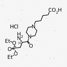 CCOP(=O)(C[C@@H](N)C(=O)N1CCN(CCCCC(=O)O)CC1)OCC.Cl